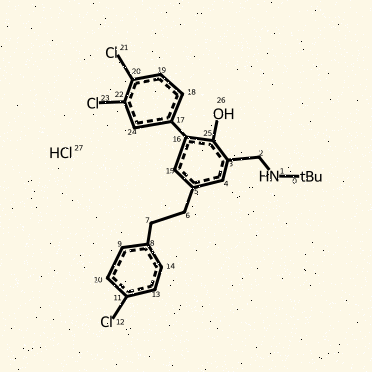 CC(C)(C)NCc1cc(CCc2ccc(Cl)cc2)cc(-c2ccc(Cl)c(Cl)c2)c1O.Cl